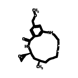 COCc1cc2cc(c1)C(=O)N[C@H](C1CO1)C[C@H](C)CCCCCCCN2